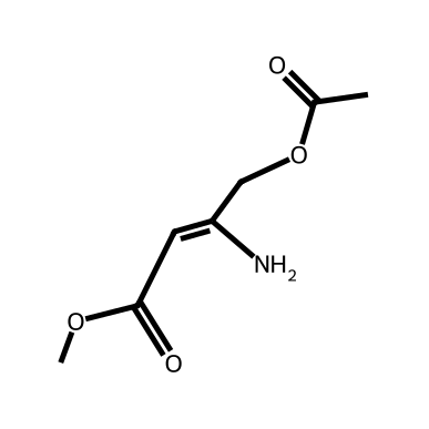 COC(=O)/C=C(\N)COC(C)=O